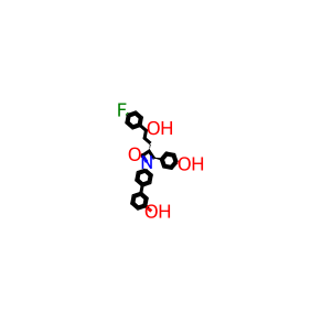 O=C1[C@H](CC[C@H](O)c2ccc(F)cc2)[C@@H](c2ccc(O)cc2)N1c1ccc(-c2cccc(O)c2)cc1